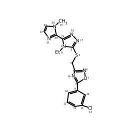 CCn1c(SCc2noc(-c3cccc(Cl)c3)n2)nnc1-c1nccn1C